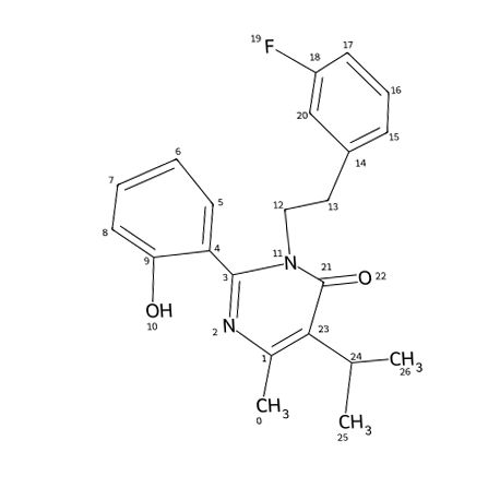 Cc1nc(-c2ccccc2O)n(CCc2cccc(F)c2)c(=O)c1C(C)C